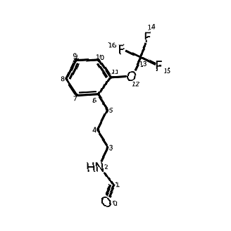 O=CNCCCc1ccccc1OC(F)(F)F